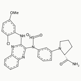 COc1ccc(Cl)c(Nc2nc3ccccc3nc2N(c2cccc(N3CCC[C@@H]3C(N)=O)c2)[SH](=O)=O)c1